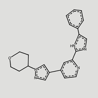 c1ccc(-c2cnc(-c3cc(-c4cnn(C5CCOCC5)c4)ccn3)[nH]2)cc1